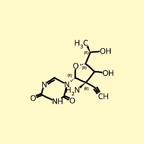 C#C[C@@]1(N)C(O)[C@@H]([C@@H](C)O)O[C@H]1n1cnc(=O)[nH]c1=O